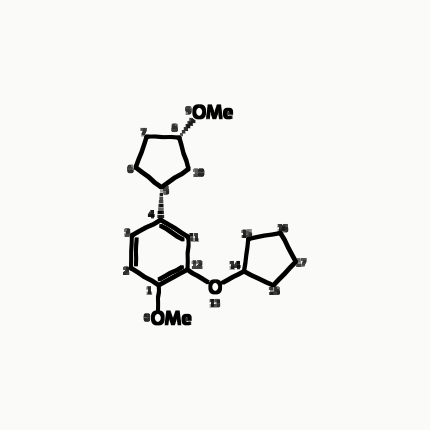 COc1ccc([C@@H]2CC[C@H](OC)C2)cc1OC1CCCC1